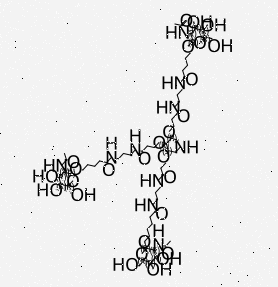 CC(=O)N[C@H]1[C@H](OCCCCC(=O)NCCCNC(=O)CCO[C@@H]2[C@@H](OCCC(=O)NCCCNC(=O)CCCCO[C@@H]3O[C@H](CO)[C@H](O)[C@H](O)[C@H]3NC(C)=O)CNC[C@H]2OCCC(=O)NCCCNC(=O)CCCCO[C@@H]2O[C@H](CO)[C@H](O)[C@H](O)[C@H]2NC(C)=O)O[C@H](CO)[C@H](O)[C@@H]1O